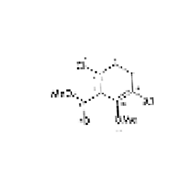 COC(=O)C1=C(Cl)CCC(Cl)=C1OC